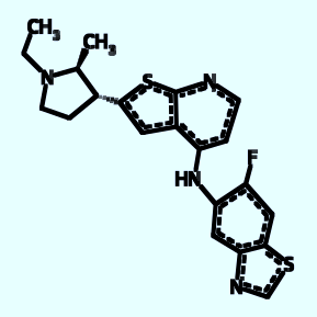 CCN1CC[C@@H](c2cc3c(Nc4cc5ncsc5cc4F)ccnc3s2)[C@@H]1C